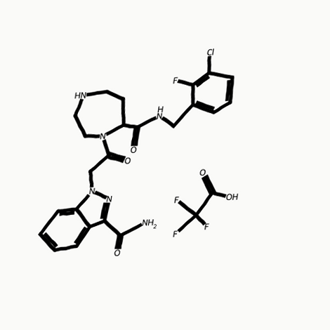 NC(=O)c1nn(CC(=O)N2CCNCCC2C(=O)NCc2cccc(Cl)c2F)c2ccccc12.O=C(O)C(F)(F)F